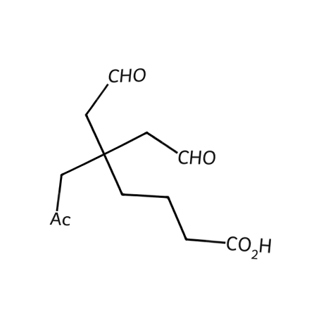 CC(=O)CC(CC=O)(CC=O)CCCC(=O)O